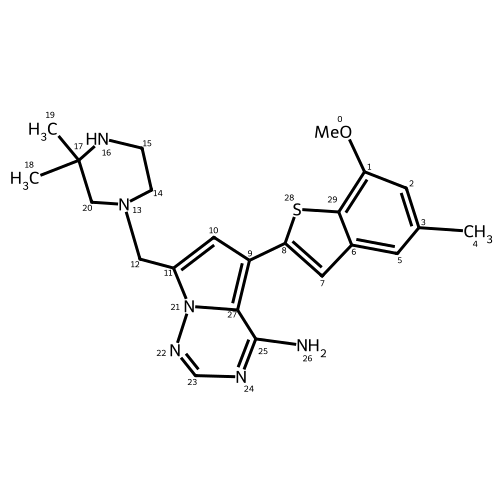 COc1cc(C)cc2cc(-c3cc(CN4CCNC(C)(C)C4)n4ncnc(N)c34)sc12